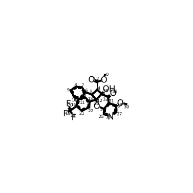 COC(=O)[C@@H]1C(c2ccccc2)C2(c3ccc(C(F)(F)F)cc3)Oc3cncc(OC)c3C(=O)C12O